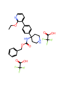 CCOc1ncccc1-c1ccc(C2(NC(=O)OCc3ccccc3)CCNCC2)cc1.O=C(O)C(F)(F)F.O=C(O)C(F)(F)F